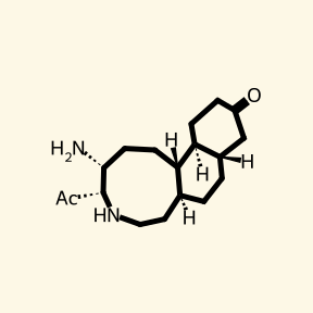 CC(=O)[C@H]1NCC[C@@H]2CC[C@H]3CC(=O)CC[C@@H]3[C@H]2CC[C@H]1N